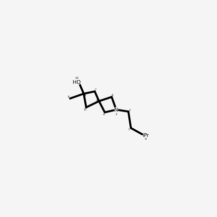 CC(C)CCN1CC2(C1)CC(C)(O)C2